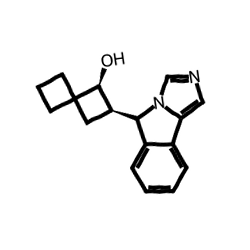 O[C@H]1[C@@H](C2c3ccccc3-c3cncn32)CC12CCC2